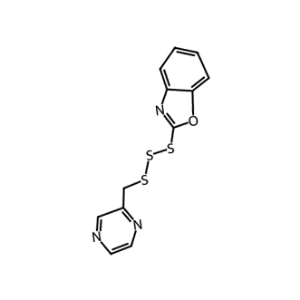 c1ccc2oc(SSSCc3cnccn3)nc2c1